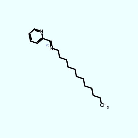 CCCCCCCCCCCC/N=C/c1ccccn1